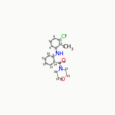 Cc1c(Cl)cccc1Nc1ccccc1C(=O)N1CCOCC1